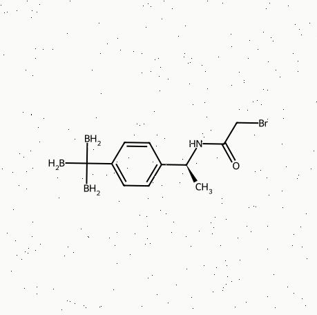 BC(B)(B)c1ccc([C@H](C)NC(=O)CBr)cc1